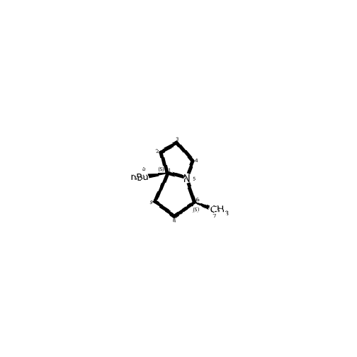 CCCC[C@@]12CCCN1[C@@H](C)CC2